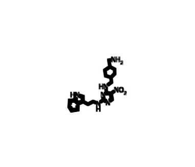 NCC1CCC(CNc2nc(NCCc3c[nH]c4ccccc34)ncc2[N+](=O)[O-])CC1